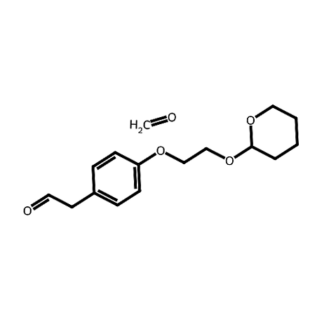 C=O.O=CCc1ccc(OCCOC2CCCCO2)cc1